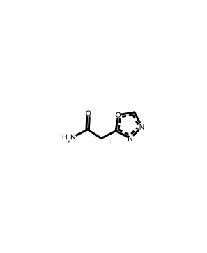 NC(=O)Cc1nn[c]o1